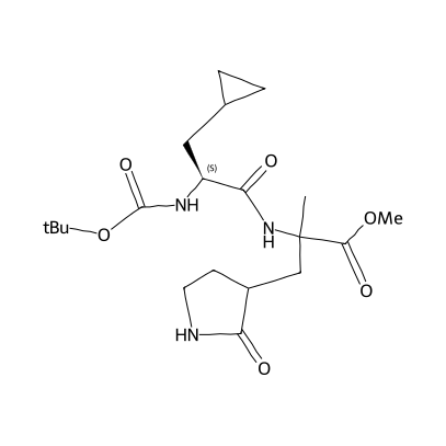 COC(=O)C(C)(CC1CCNC1=O)NC(=O)[C@H](CC1CC1)NC(=O)OC(C)(C)C